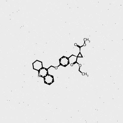 CCOC(=O)[C@@]1(Cc2ccc(OCc3c4c(nc5ccccc35)CCCC4)cc2)C[C@@H]1C(=O)OC